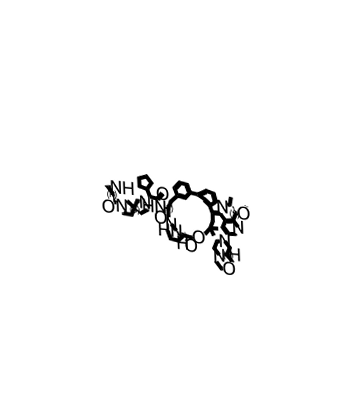 CCn1c(-c2cc(N3CCN4CCOC[C@@H]4C3)cnc2[C@H](C)OC)c2c3cc(ccc31)-c1cccc(c1)C[C@H](NC(=O)C(C1CCCC1)N1CC[C@]3(CCN(C(=O)[C@H]4CN4)C3)C1)C(=O)N1CCC[C@H](N1)C(=O)OCC(C)(C)C2